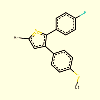 CCSc1ccc(-c2cc(C(C)=O)sc2-c2ccc(F)cc2)cc1